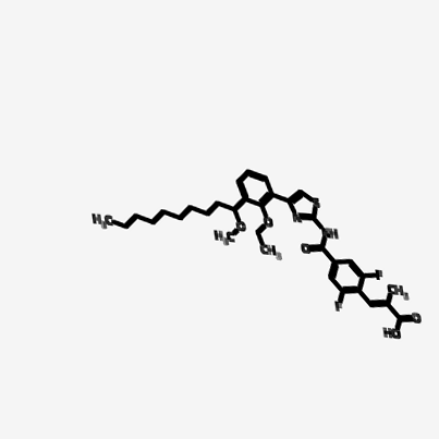 CCCCCCCCCC(OC)c1cccc(-c2csc(NC(=O)c3cc(F)c(/C=C(\C)C(=O)O)c(F)c3)n2)c1OCC